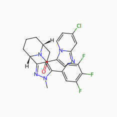 Cn1nc2c(c1-c1cc(F)c(F)c(F)c1)C[C@H]1CCC[C@@H]2N1C(=O)c1cnc2cc(Cl)ccn12